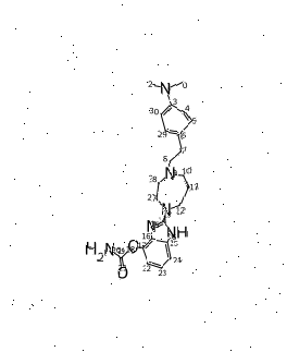 CN(C)c1ccc(CCN2CCCN(c3nc4c(OC(N)=O)cccc4[nH]3)CC2)cc1